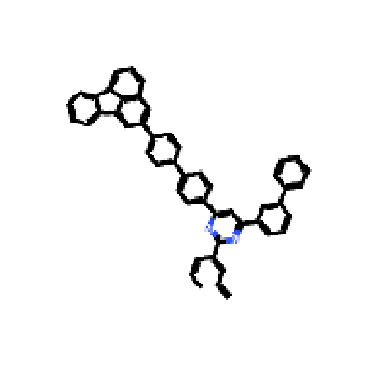 C=C/C=C(\C=C/C)c1nc(-c2ccc(-c3ccc(-c4cc5c6c(cccc6c4)-c4ccccc4-5)cc3)cc2)cc(-c2cccc(-c3ccccc3)c2)n1